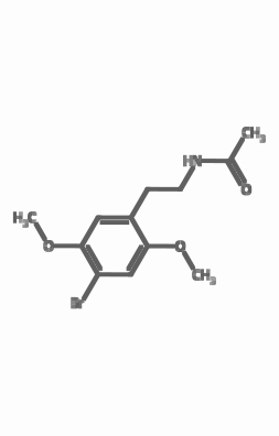 COc1cc(CCNC(C)=O)c(OC)cc1Br